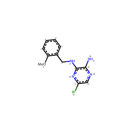 COc1ccccc1CNc1nc(Br)cnc1N